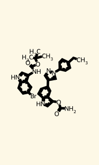 CC(C)(C)OC(=O)Nc1c[nH]c2ccc(Br)cc12.CCc1ccc(-n2cc(-c3ccc4[nH]cc(OC(N)=O)c4c3)cn2)cc1